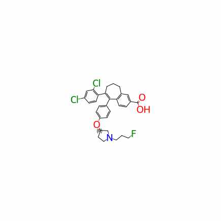 O=C(O)c1ccc2c(c1)CCCC(c1ccc(Cl)cc1Cl)=C2c1ccc(O[C@@H]2CCN(CCCF)C2)cc1